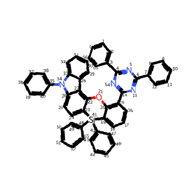 c1ccc(-c2nc(-c3ccccc3)nc(-c3cccc4c3Oc3c(ccc5c3c3ccccc3n5-c3ccccc3)[Si]4(c3ccccc3)c3ccccc3)n2)cc1